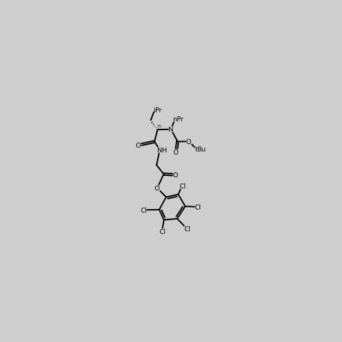 CCCN(C(=O)OC(C)(C)C)[C@@H](CC(C)C)C(=O)NCC(=O)Oc1c(Cl)c(Cl)c(Cl)c(Cl)c1Cl